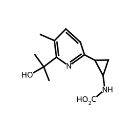 Cc1ccc(C2CC2NC(=O)O)nc1C(C)(C)O